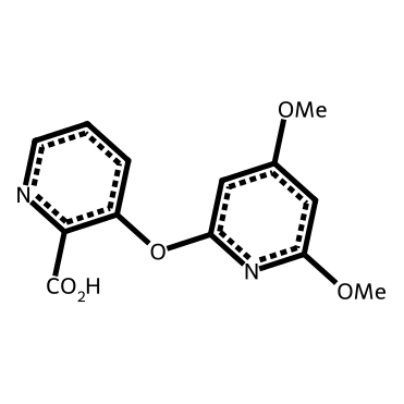 COc1cc(OC)nc(Oc2cccnc2C(=O)O)c1